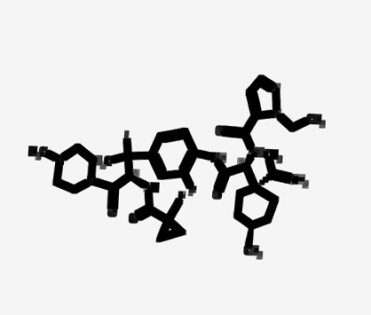 CCn1nccc1C(=O)N[C@H](C(=O)Nc1ccc(C(C)(I)[C@@H](NC(=O)C2(F)CC2)C(=O)N2CCN(C)CC2)cc1F)[C@]1(C(C)=[SiH2])CC[C@H](C)CC1